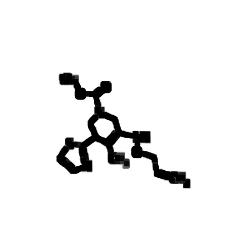 C=CCONC1=C(C)C(c2nccs2)CN(C(=O)OC(C)(C)C)C1